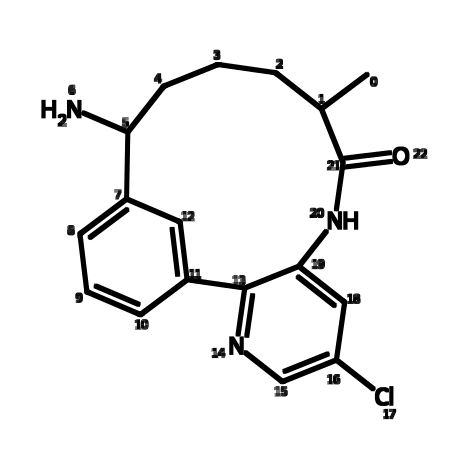 CC1CCCC(N)c2cccc(c2)-c2ncc(Cl)cc2NC1=O